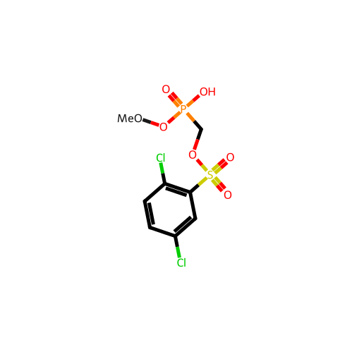 COOP(=O)(O)COS(=O)(=O)c1cc(Cl)ccc1Cl